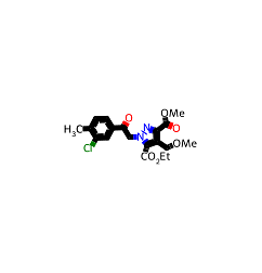 CCOC(=O)c1c(COC)c(C(=O)OC)nn1CC(=O)c1ccc(C)c(Cl)c1